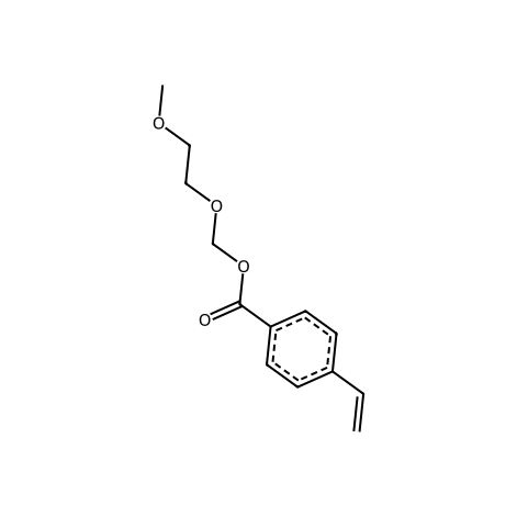 C=Cc1ccc(C(=O)OCOCCOC)cc1